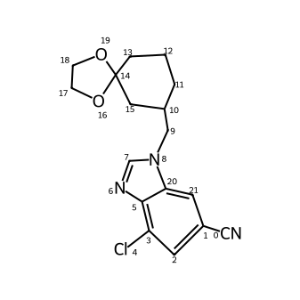 N#Cc1cc(Cl)c2ncn(CC3CCCC4(C3)OCCO4)c2c1